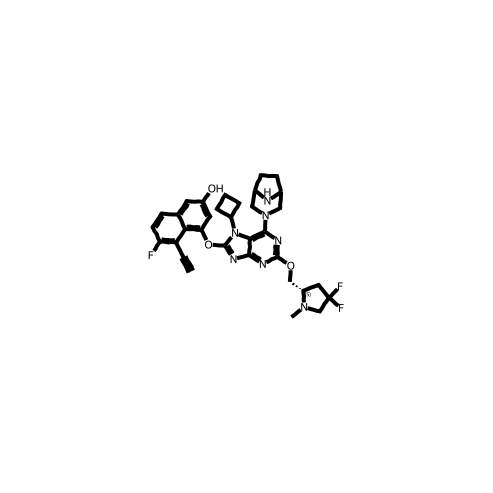 C#Cc1c(F)ccc2cc(O)cc(Oc3nc4nc(OC[C@@H]5CC(F)(F)CN5C)nc(N5CC6CCC(C5)N6)c4n3C3CCC3)c12